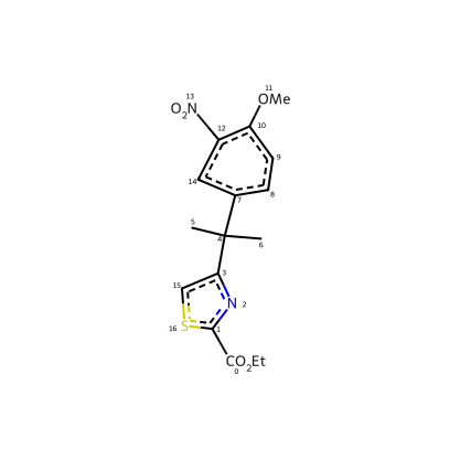 CCOC(=O)c1nc(C(C)(C)c2ccc(OC)c([N+](=O)[O-])c2)cs1